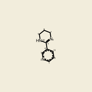 c1cncc(C2=NCCCN2)c1